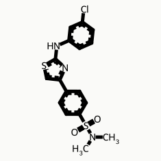 CN(C)S(=O)(=O)c1ccc(-c2csc(Nc3cccc(Cl)c3)n2)cc1